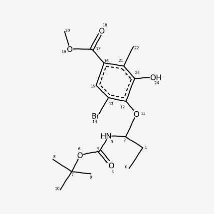 CCC(NC(=O)OC(C)(C)C)Oc1c(Br)cc(C(=O)OC)c(C)c1O